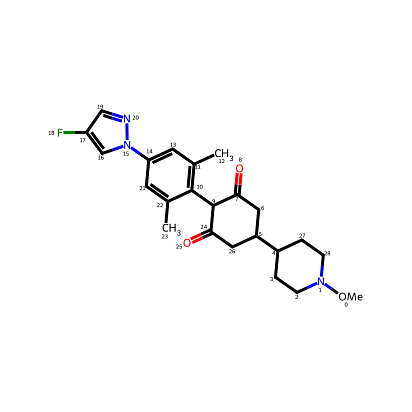 CON1CCC(C2CC(=O)C(c3c(C)cc(-n4cc(F)cn4)cc3C)C(=O)C2)CC1